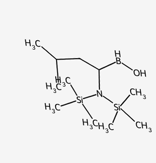 CC(C)CC(BO)N([Si](C)(C)C)[Si](C)(C)C